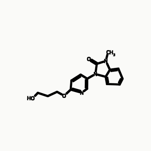 Cn1c(=O)n(-c2ccc(OCCCO)nc2)c2ccccc21